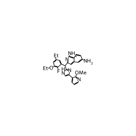 CCOc1cc(CC)cc(C(c2cc3cc(N)ccc3c(N)n2)c2nc(-c3cccnc3OC)c[nH]2)c1F